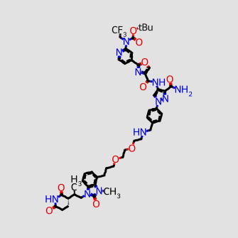 C[C@@H](Cn1c(=O)n(C)c2c(CCCOCCOCCNCc3ccc(-n4cc(NC(=O)c5coc(-c6ccnc(N(CC(F)(F)F)C(=O)OC(C)(C)C)c6)n5)c(C(N)=O)n4)cc3)cccc21)[C@@H]1CCC(=O)NC1=O